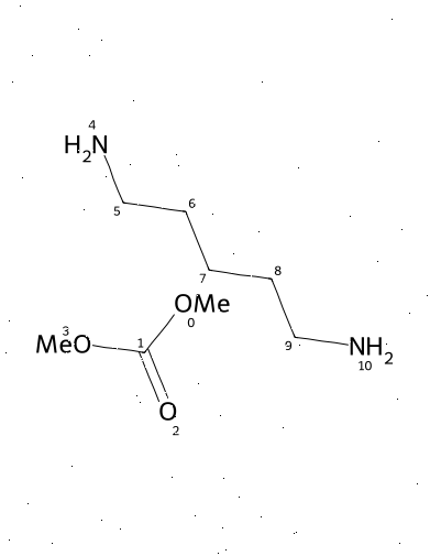 COC(=O)OC.NCCCCCN